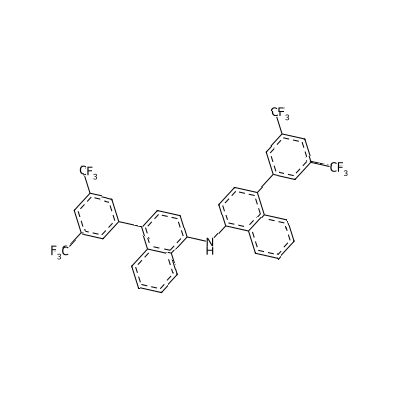 FC(F)(F)c1cc(-c2ccc(Nc3ccc(-c4cc(C(F)(F)F)cc(C(F)(F)F)c4)c4ccccc34)c3ccccc23)cc(C(F)(F)F)c1